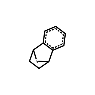 c1ccc2c(c1)C1CCC2S1